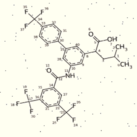 CC(C)CC(C(=O)O)c1cc(NC(=O)c2cc(C(F)(F)F)cc(C(F)(F)F)c2)cc(-c2ccc(C(F)(F)F)cc2)c1